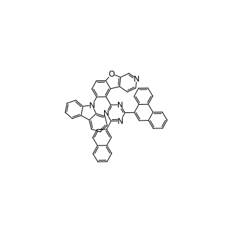 c1ccc2cc(-c3nc(-c4cc5ccccc5c5ccccc45)nc(-c4c(-n5c6ccccc6c6ccccc65)ccc5oc6cnccc6c45)n3)ccc2c1